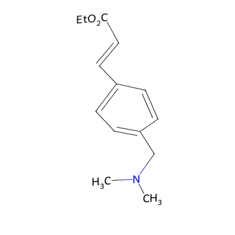 CCOC(=O)C=Cc1ccc(CN(C)C)cc1